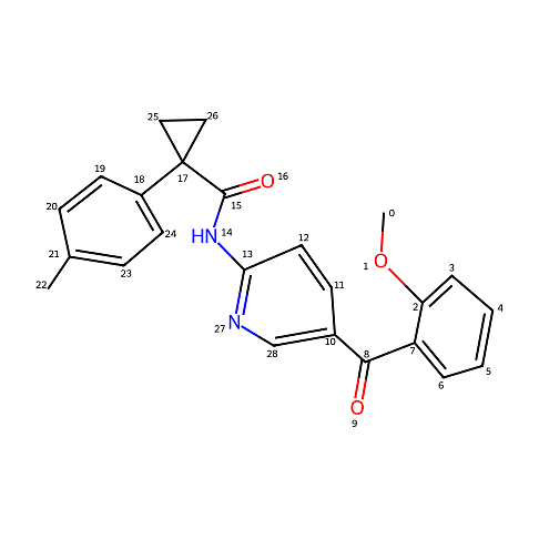 COc1ccccc1C(=O)c1ccc(NC(=O)C2(c3ccc(C)cc3)CC2)nc1